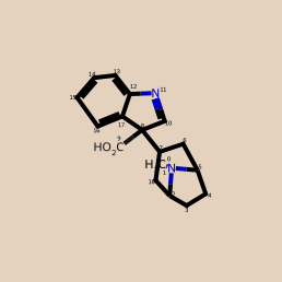 CN1C2CCC1CC(C1(C(=O)O)C=Nc3ccccc31)C2